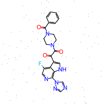 O=C(C(=O)N1CCN(C(=O)c2ccccc2)CC1)c1c[nH]c2c(-n3cncn3)ncc(F)c12